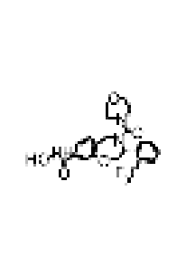 O=C(NO)c1ccc2c(c1)OC[C@@H](c1ccccc1C(F)(F)F)N(C(=O)N1CCOCC1)C2